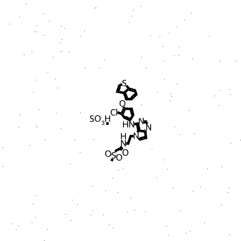 CS(=O)(=O)CC(=O)NCCn1ccc2ncnc(Nc3ccc(Oc4cccc5sccc45)c(Cl)c3)c21.CS(=O)(=O)O